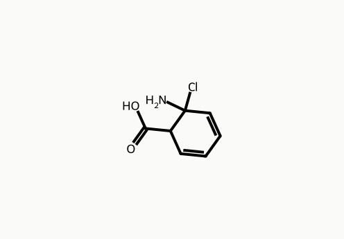 NC1(Cl)C=CC=CC1C(=O)O